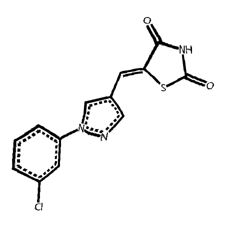 O=C1NC(=O)/C(=C/c2cnn(-c3cccc(Cl)c3)c2)S1